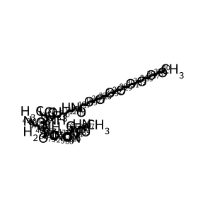 CC[C@H](C)[C@H](NC(=O)CCCCCNC(=O)CCOCCOCCOCCOCCOCCOCCOCCOC)C(=O)N[C@@H](CCCCN)C(=O)N1CCN(c2ccc3ncn(CC(=O)NC)c(=O)c3c2)CC1